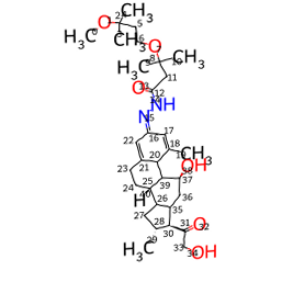 COC(C)(C)CCOC(C)(C)CC(=O)N/N=C1\C=C(C)C2C(=C1)CC[C@H]1C3C[C@@H](C)[C@H](C(=O)CO)C3C[C@H](O)C21